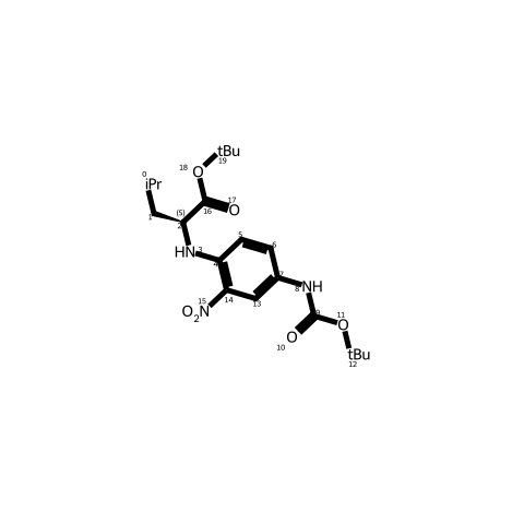 CC(C)C[C@H](Nc1ccc(NC(=O)OC(C)(C)C)cc1[N+](=O)[O-])C(=O)OC(C)(C)C